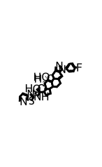 CC12Cc3cnn(-c4ccc(F)cc4)c3C=C1CCC1C2[C@@H](O)CC2(C)C(C(=O)Nc3nc4cccnc4s3)CCC12